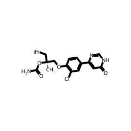 CC(C)C[C@@](C)(COc1ccc(-c2cc(=O)[nH]cn2)cc1Cl)OC(N)=O